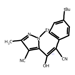 CCn1nc(C)c(C#N)c1/C(O)=C(/C#N)c1ccc(C(C)(C)C)cc1